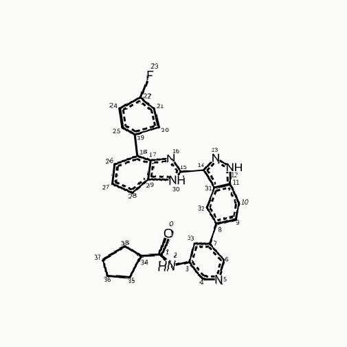 O=C(Nc1cncc(-c2ccc3[nH]nc(-c4nc5c(-c6ccc(F)cc6)cccc5[nH]4)c3c2)c1)C1CCCC1